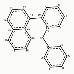 c1ccc(C[n+]2ccccc2-c2cccc3ccccc23)cc1